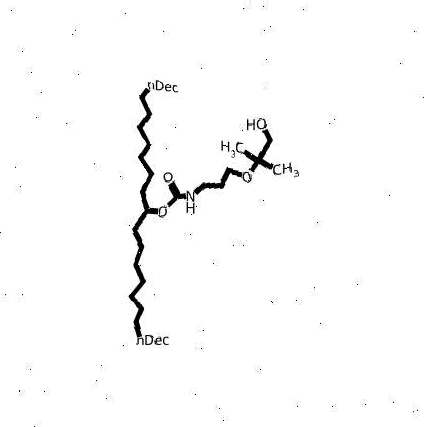 CCCCCCCCCCCCCCCCCC(CCCCCCCCCCCCCCCCC)OC(=O)NCCCOC(C)(C)CO